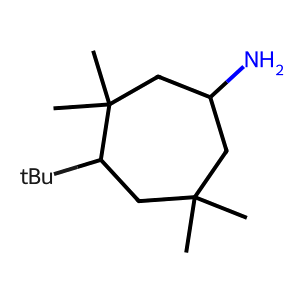 CC1(C)CC(N)CC(C)(C)C(C(C)(C)C)C1